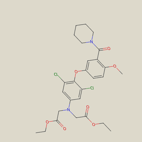 CCOC(=O)CN(CC(=O)OCC)c1cc(Cl)c(Oc2ccc(OC)c(C(=O)N3CCCCC3)c2)c(Cl)c1